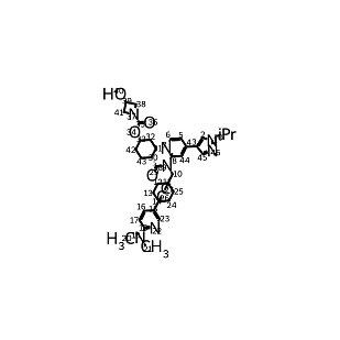 CC(C)n1cc(-c2ccnc(N(CC34CCC(c5ccc(N(C)C)nc5)(CC3)CC4)C(=O)[C@H]3CC[C@H](OC(=O)N4CC(O)C4)CC3)c2)cn1